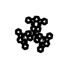 c1ccc(-n2c3ccccc3c3ccc4c5ccccc5n(-c5ccc(N(c6ccc(-n7c8ccccc8c8ccc9c%10ccccc%10n(-c%10ccccc%10)c9c87)cc6)c6ccc(-n7c8ccccc8c8ccc9c%10ccccc%10n(-c%10ccccc%10)c9c87)cc6)cc5)c4c32)cc1